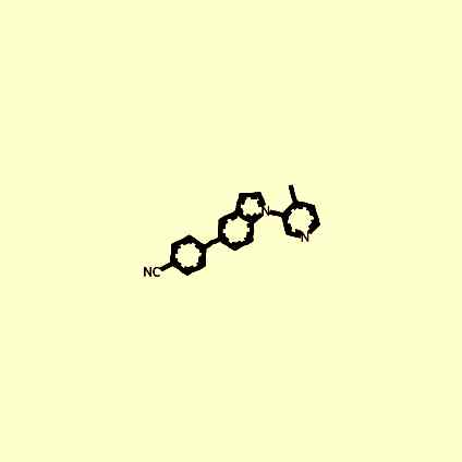 Cc1ccncc1-n1ccc2cc(-c3ccc(C#N)cc3)ccc21